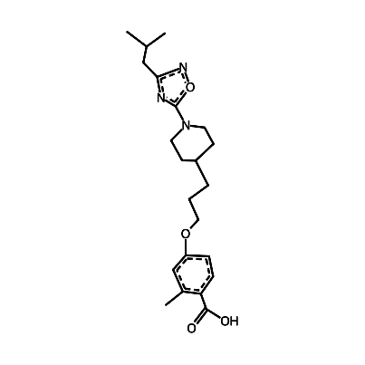 Cc1cc(OCCCC2CCN(c3nc(CC(C)C)no3)CC2)ccc1C(=O)O